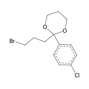 Clc1ccc(C2(CCCBr)OCCCO2)cc1